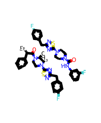 CCC(C(=O)N1CCN(c2nc(Cc3ccc(F)cc3)ns2)CC1C)c1ccccc1.O=C(Nc1cccc(F)c1)N1CCN(c2nc(Cc3ccc(F)cc3)ns2)CC1